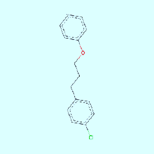 Clc1ccc(CCCOc2cc[c]cc2)cc1